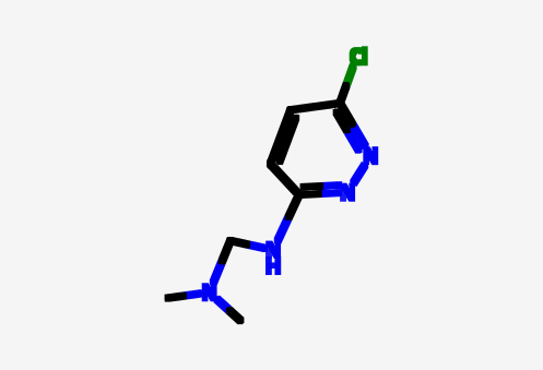 CN(C)CNc1ccc(Cl)nn1